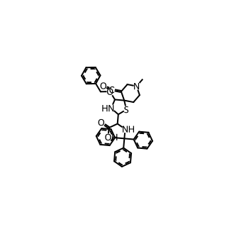 CN1CCC2(SC(C(NC(c3ccccc3)(c3ccccc3)c3ccccc3)C(=O)O)NC2OCc2ccccc2)C(=C=O)C1